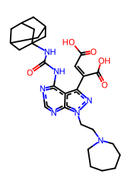 O=C(O)/C=C(\C(=O)O)c1nn(CCN2CCCCCC2)c2ncnc(NC(=O)NC34CC5CC(CC(C5)C3)C4)c12